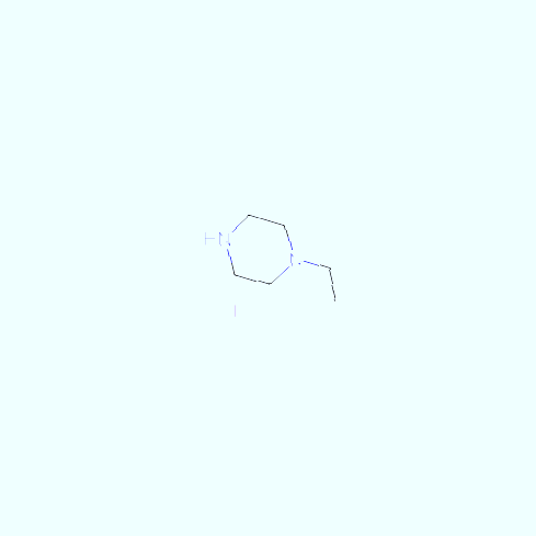 CCN1CCNCC1.I